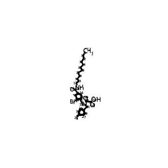 CCCCCCCCCCCCNC(=O)c1ccc(CN(Cc2ccc(I)cc2)C(=O)C(=O)O)c(Br)c1